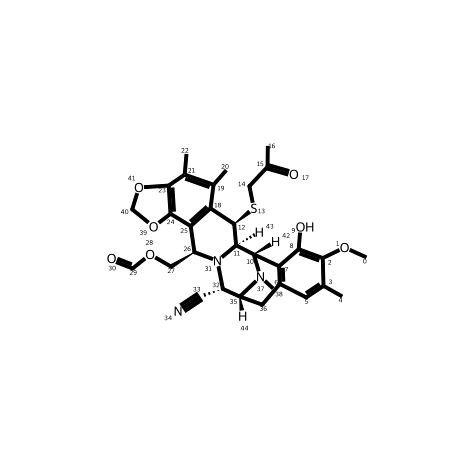 COc1c(C)cc2c(c1O)[C@H]1[C@@H]3[C@H](SCC(C)=O)c4c(C)c(C)c5c(c4[C@H](COC=O)N3[C@@H](C#N)[C@@H](C2)N1C)OCO5